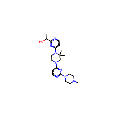 CC(O)c1nccc(N2CCN(c3ccnc(N4CCN(C)CC4)n3)CC2(C)C)n1